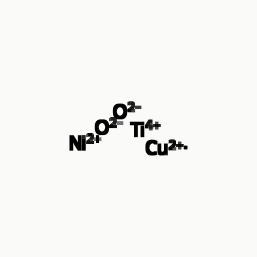 [Cu+2].[Ni+2].[O-2].[O-2].[Ti+4]